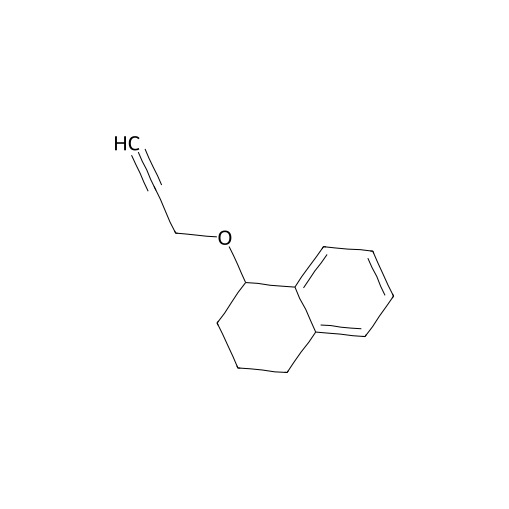 C#CCOC1CCCc2ccccc21